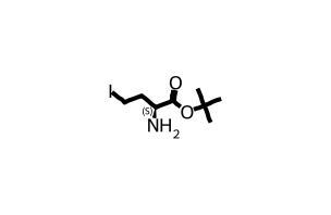 CC(C)(C)OC(=O)[C@@H](N)CCI